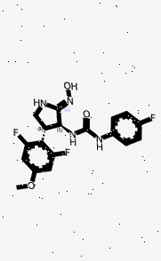 COc1cc(F)c([C@@H]2CN/C(=N\O)[C@H]2NC(=O)Nc2ccc(F)cc2)c(F)c1